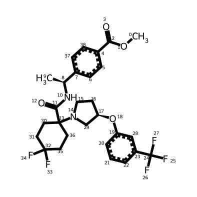 COC(=O)c1ccc([C@H](C)NC(=O)C2(N3CC[C@@H](Oc4cccc(C(F)(F)F)c4)C3)CCC(F)(F)CC2)cc1